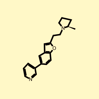 C[C@@H]1CCCN1CCc1cc2cc(-c3cccnc3)ccc2o1